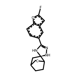 Fc1cc2cc(C3=NN[C@@]4(CC5CCC4CC5)N3)ccc2o1